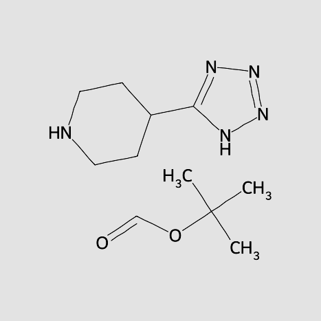 C1CC(c2nnn[nH]2)CCN1.CC(C)(C)OC=O